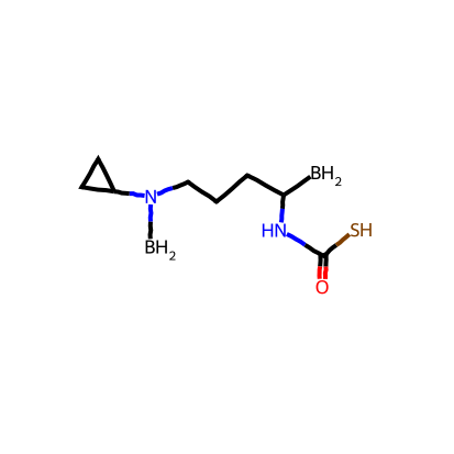 BC(CCCN(B)C1CC1)NC(=O)S